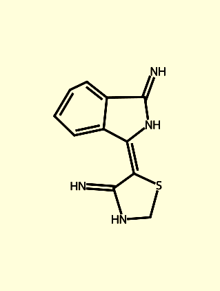 N=C1NCSC1=C1NC(=N)c2ccccc21